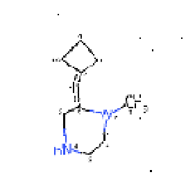 CN1CCNCC1=C1CCC1